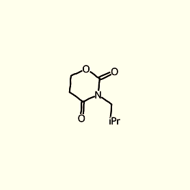 CC(C)CN1C(=O)CCOC1=O